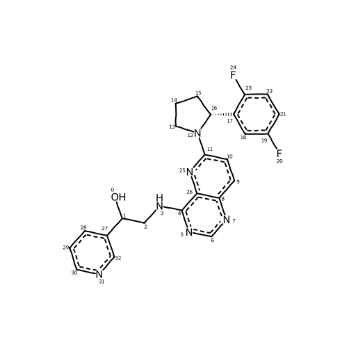 OC(CNc1ncnc2ccc(N3CCC[C@@H]3c3cc(F)ccc3F)nc12)c1cccnc1